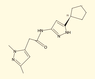 Cc1cc(CC(=O)Nc2cc([C@H]3C[CH]CC3)[nH]n2)n(C)n1